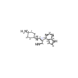 N=C/C(=C\NC1CCC(N)CC1)c1ncnc2[nH]ccc12